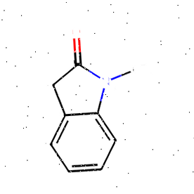 O=C1Cc2ccccc2N1C(F)(F)F